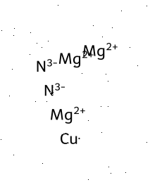 [Cu].[Mg+2].[Mg+2].[Mg+2].[N-3].[N-3]